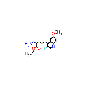 CCOC(=O)C(CN)CCCc1c(F)cnc2ccc(OC)cc12